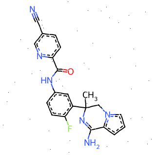 CC1(c2cc(NC(=O)c3ccc(C#N)cn3)ccc2F)Cn2cccc2C(N)=N1